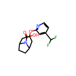 O=C(O)N1C2CCC1CC(Oc1cc(C(F)F)ccn1)C2